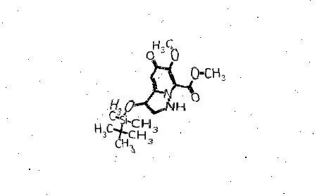 COC(=O)c1c(OC)c(=O)cc2n1NCC2O[Si](C)(C)C(C)(C)C